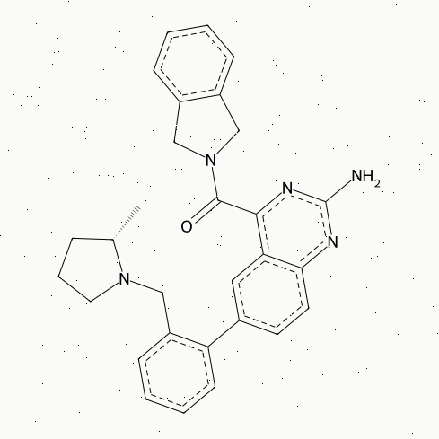 C[C@H]1CCCN1Cc1ccccc1-c1ccc2nc(N)nc(C(=O)N3Cc4ccccc4C3)c2c1